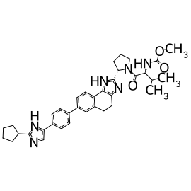 COC(=O)N[C@H](C(=O)N1CCC[C@H]1c1nc2c([nH]1)-c1ccc(-c3ccc(-c4cnc(C5CCCC5)[nH]4)cc3)cc1CC2)C(C)C